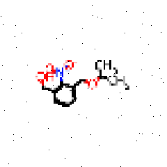 CC(C)OCc1cccc(CO)c1[N+](=O)[O-]